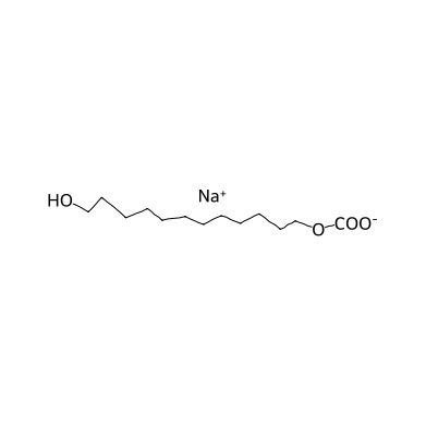 O=C([O-])OCCCCCCCCCCCCO.[Na+]